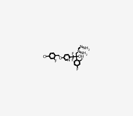 N/N=C\N(N)CC(O)(c1ccc(F)cc1F)C(F)(F)c1ccc(OCc2ccc(Cl)cc2F)cn1